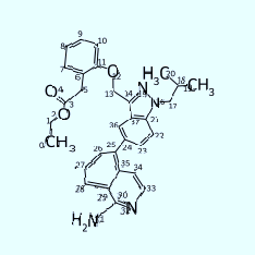 CCOC(=O)Cc1ccccc1OCc1nn(CC(C)C)c2ccc(-c3cccc4c(N)nccc34)cc12